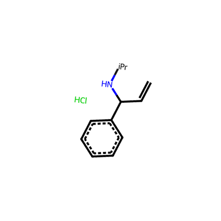 C=CC(NC(C)C)c1ccccc1.Cl